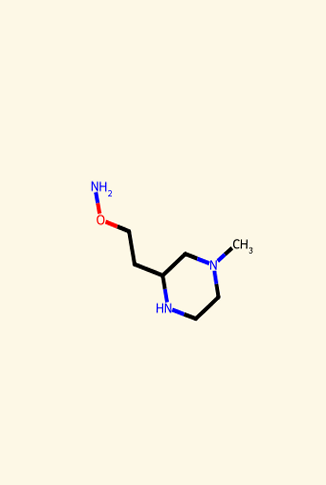 CN1CCNC(CCON)C1